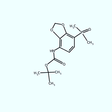 CC(C)(C)OC(=O)Nc1ccc(P(C)(C)=O)c2c1OCO2